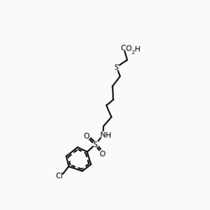 O=C(O)CSCCCCCCNS(=O)(=O)c1ccc(Cl)cc1